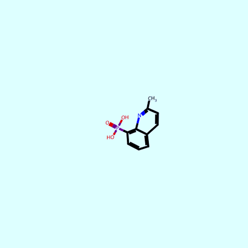 Cc1ccc2cccc(P(=O)(O)O)c2n1